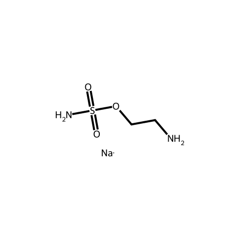 NCCOS(N)(=O)=O.[Na]